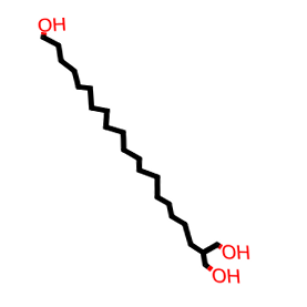 OCCCCCCCCCCCCCCCCCCCC(CO)CO